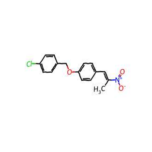 C/C(=C\c1ccc(OCc2ccc(Cl)cc2)cc1)[N+](=O)[O-]